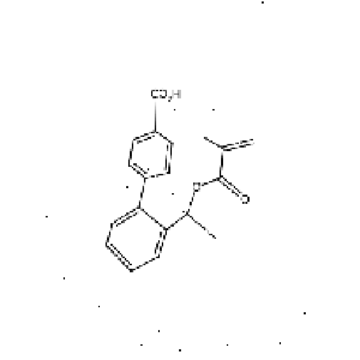 C=C(C)C(=O)OC(C)c1ccccc1-c1ccc(C(=O)O)cc1